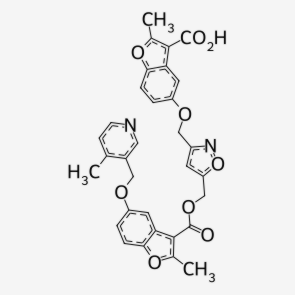 Cc1ccncc1COc1ccc2oc(C)c(C(=O)OCc3cc(COc4ccc5oc(C)c(C(=O)O)c5c4)no3)c2c1